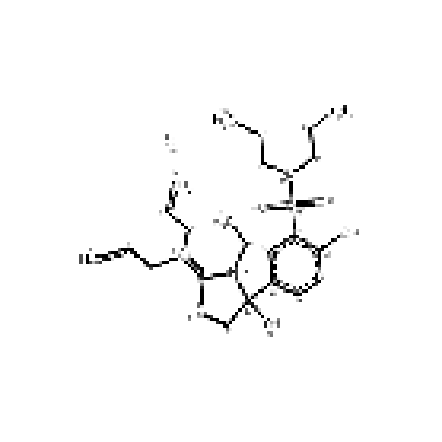 C=CC[N+](CC=C)=C1SCC(O)(c2ccc(Cl)c(S(=O)(=O)N(CCC)CCC)c2)N1CC.[Br-]